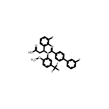 COc1ccc(C(F)(F)F)cc1N1C(c2ccc(-c3cccc(F)c3)cc2)=Nc2c(F)cccc2C1CC(=O)O